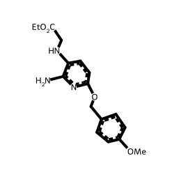 CCOC(=O)CNc1ccc(OCc2ccc(OC)cc2)nc1N